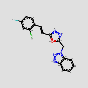 Fc1ccc(/C=C/c2nnc(Cn3nnc4ccccc43)o2)c(Cl)c1